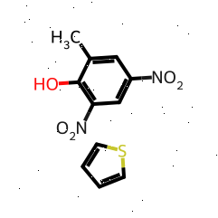 Cc1cc([N+](=O)[O-])cc([N+](=O)[O-])c1O.c1ccsc1